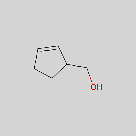 OCC1C=CCC1